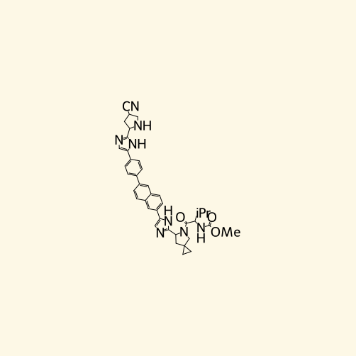 COC(=O)NC(C(=O)N1CC2(CC2)CC1c1ncc(-c2ccc3cc(-c4ccc(-c5cnc(C6CC(C#N)CN6)[nH]5)cc4)ccc3c2)[nH]1)C(C)C